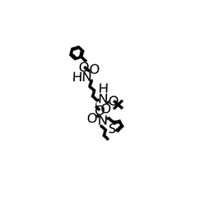 CCCCN(Cc1cccs1)C(=O)OC[C@H](CCCCNC(=O)OCc1ccccc1)NC(=O)OC(C)(C)C